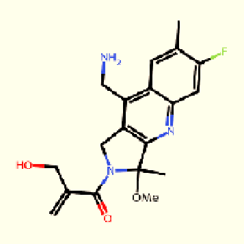 C=C(CO)C(=O)N1Cc2c(nc3cc(F)c(C)cc3c2CN)C1(C)OC